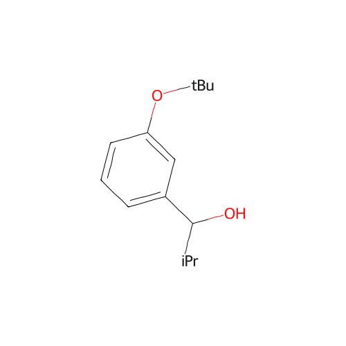 CC(C)C(O)c1cccc(OC(C)(C)C)c1